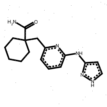 NC(=O)C1(Cc2cccc(Nc3cc[nH]n3)n2)CCCCC1